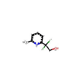 Cc1cccc(C(F)(F)CO)n1